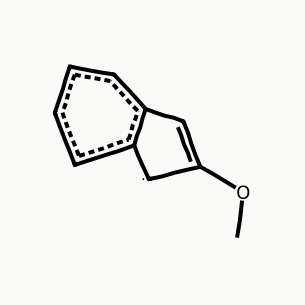 COC1=Cc2ccccc2[CH]1